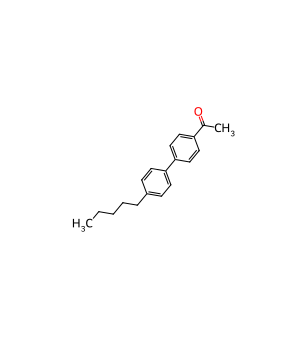 CCCCCc1ccc(-c2ccc(C(C)=O)cc2)cc1